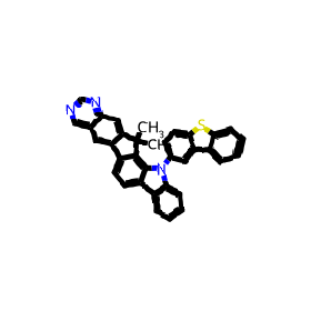 CC1(C)c2cc3ncncc3cc2-c2ccc3c4ccccc4n(-c4ccc5sc6ccccc6c5c4)c3c21